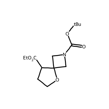 CCOC(=O)C1CCOC12CN(C(=O)OC(C)(C)C)C2